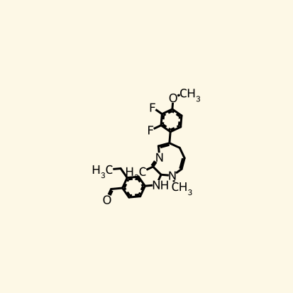 CCc1cc(NC2/C(C)=N/C=C(/c3ccc(OC)c(F)c3F)C/C=C\N2C)ccc1C=O